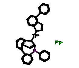 C1=C[CH]([Ti+2][CH]2C3=Cc4c(cccc42)-c2ccccc2P3c2ccccc2)c2cccc(-c3ccccc3)c21.[F-].[F-]